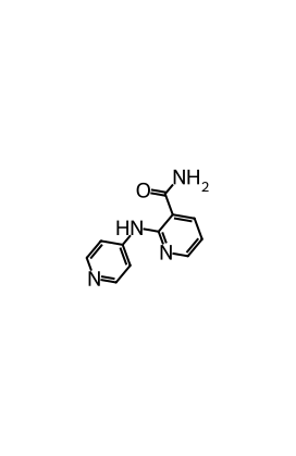 NC(=O)c1cccnc1Nc1ccncc1